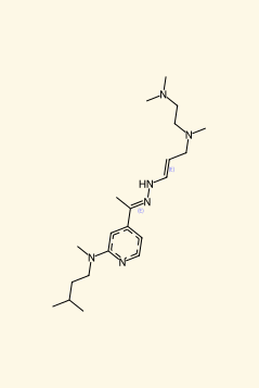 C/C(=N\N/C=C/CN(C)CCN(C)C)c1ccnc(N(C)CCC(C)C)c1